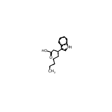 CCCCCC(CC(=O)O)c1c[nH]c2ccccc12